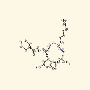 C[C@@H]1C/C=C/[C@@H](OCCCN=[N+]=[N-])C/C=C/C(=N/OCC(=O)N2CCCCC2)Cc2cc(O)cc(O)c2C(=O)O1